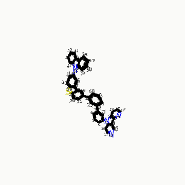 c1cc(-c2cccc(-n3c4ccncc4c4ncccc43)c2)cc(-c2ccc3sc4ccc(-n5c6ccccc6c6ccccc65)cc4c3c2)c1